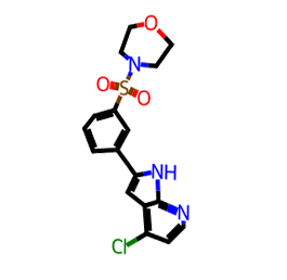 O=S(=O)(c1cccc(-c2cc3c(Cl)ccnc3[nH]2)c1)N1CCOCC1